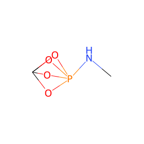 CNP123OC(O1)(O2)O3